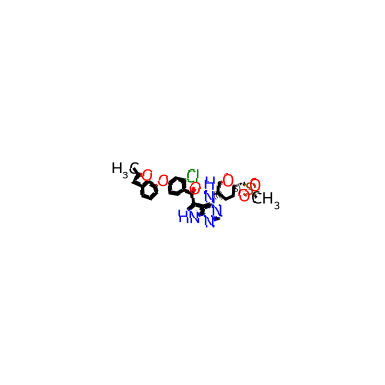 Cc1cc2cccc(Oc3ccc(C(=O)c4c[nH]c5ncnc(N[C@@H]6CC[C@@H](CS(C)(=O)=O)OC6)c45)c(Cl)c3)c2o1